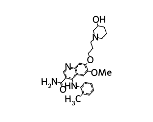 COc1cc2c(Nc3ccccc3C)c(C(N)=O)cnc2cc1OCCCN1CCCC(O)C1